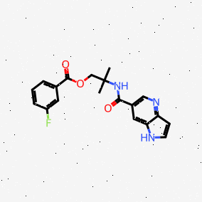 CC(C)(COC(=O)c1cccc(F)c1)NC(=O)c1cnc2cc[nH]c2c1